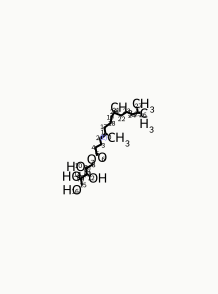 C/C(=C\CCC(=O)OC[C@H](O)[C@@H](O)[C@H](O)CO)CCCC(C)CCCC(C)C